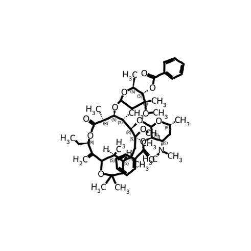 C=C1C2OC(C)(C)C[C@@H]([C@H](C)C[C@](C)(OC)[C@H](OC3O[C@H](C)C[C@H](N(C)C)[C@H]3OC(=O)c3ccccc3)[C@@H](C)[C@H](OC3C[C@@](C)(OC)[C@@H](OC(=O)c4ccccc4)[C@H](C)O3)[C@@H](C)C(=O)O[C@@H]1CC)[C@@H]2C